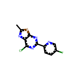 Cc1nc2c(Cl)nc(-c3ccc(F)cn3)nc2s1